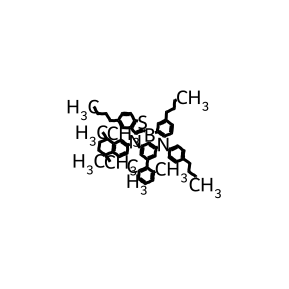 CCCCc1ccc(N2c3ccc(CCCC)cc3B3c4sc5ccc(CCCC)cc5c4N(c4ccc5c(c4)C(C)(C)CCC5(C)C)c4cc(-c5c(C)cccc5C)cc2c43)cc1